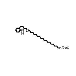 CCCCCCCCCCCCCCCCCCCCCCCCCCCCOCC1CCc2ccccc2N1